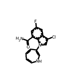 NC(=O)c1cc(F)cc2c(Cl)cn(C3=CNC=CC=C3)c12